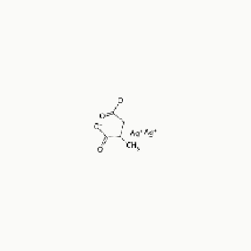 CC(CC(=O)[O-])C(=O)[O-].[Ag+].[Ag+]